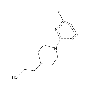 OCCC1CCN(c2cccc(F)n2)CC1